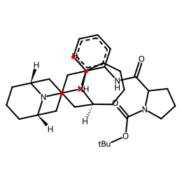 CC(C)(C)OC(=O)N1CCCC1C(=O)Nc1ccccc1NC1C[C@H]2CCC[C@@H](C1)N2C1C[C@H]2CCCC[C@@H](C1)C2